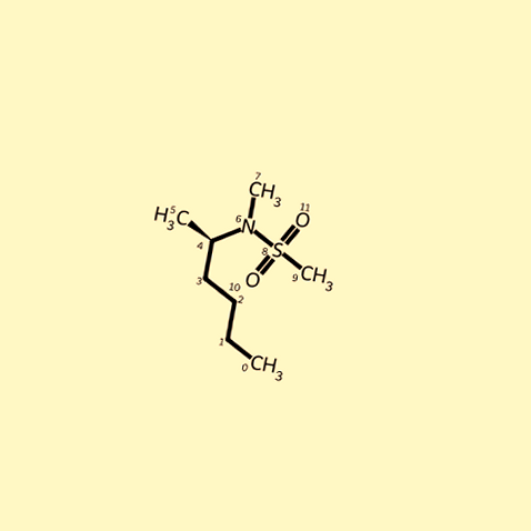 CCCC[C@@H](C)N(C)S(C)(=O)=O